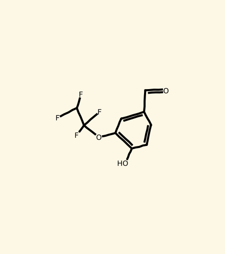 O=Cc1ccc(O)c(OC(F)(F)C(F)F)c1